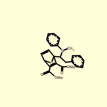 COC(=O)C1=C(C(=O)OC)C2(C(Cc3ccccc3)N(C)c3ccccc3)C=CC1O2